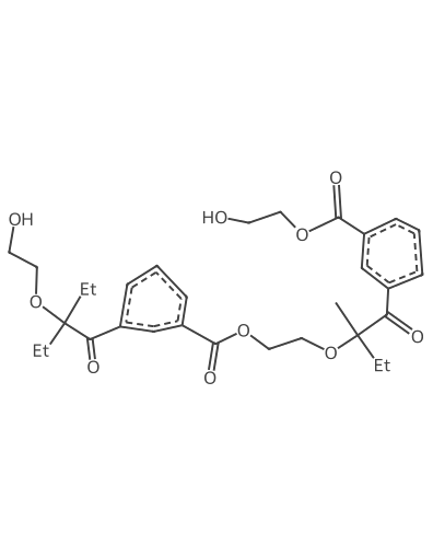 CCC(C)(OCCOC(=O)c1cccc(C(=O)C(CC)(CC)OCCO)c1)C(=O)c1cccc(C(=O)OCCO)c1